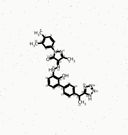 CC1=NN(c2ccc(C)c(C)c2)C(=O)/C1=N\Nc1cccc(-c2ccc(C(C)c3nnn[nH]3)cc2)c1O